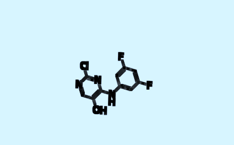 Oc1cnc(Cl)nc1Nc1cc(F)cc(F)c1